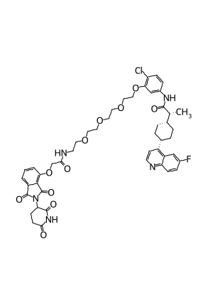 C[C@@H](C(=O)Nc1ccc(Cl)c(OCCOCCOCCOCCNC(=O)COc2cccc3c2C(=O)N(C2CCC(=O)NC2=O)C3=O)c1)[C@H]1CC[C@@H](c2ccnc3ccc(F)cc32)CC1